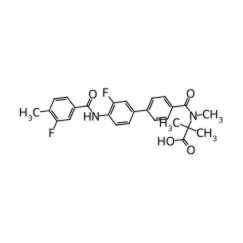 Cc1ccc(C(=O)Nc2ccc(-c3ccc(C(=O)N(C)C(C)(C)C(=O)O)cc3)cc2F)cc1F